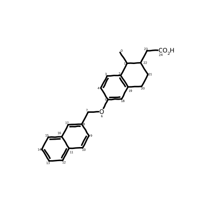 CC1c2ccc(OCc3ccc4ccccc4c3)cc2CCC1CC(=O)O